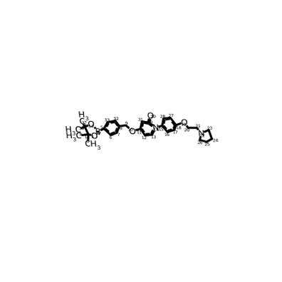 CC1(C)OB(c2ccc(COc3ccn(-c4ccc(OCCN5CCCC5)cc4)c(=O)c3)cc2)OC1(C)C